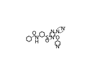 CN1CCN(c2ncc([S+]([O-])c3cccc(NC(=O)c4ccccc4)c3)nc2Oc2ccncc2)CC1